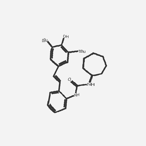 CC(C)(C)c1cc(C=Cc2ccccc2NC(=O)NC2CCCCCC2)cc(C(C)(C)C)c1O